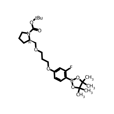 CC(C)(C)OC(=O)N1CCC[C@@H]1COCCCOc1ccc(B2OC(C)(C)C(C)(C)O2)c(F)c1